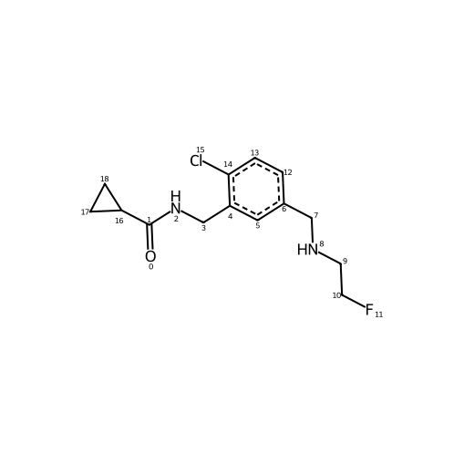 O=C(NCc1cc(CNCCF)ccc1Cl)C1CC1